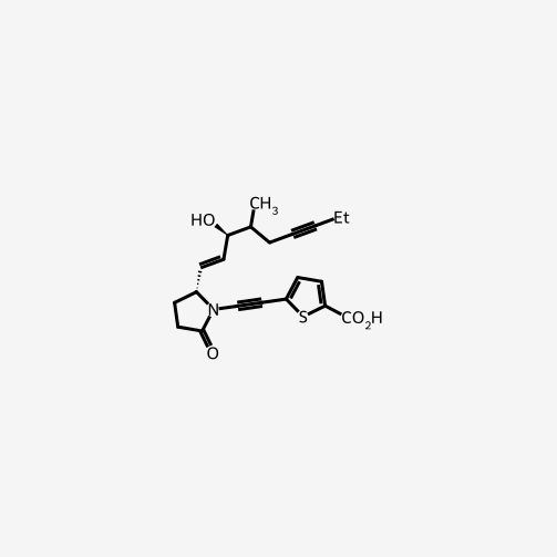 CCC#CCC(C)[C@H](O)/C=C/[C@H]1CCC(=O)N1C#Cc1ccc(C(=O)O)s1